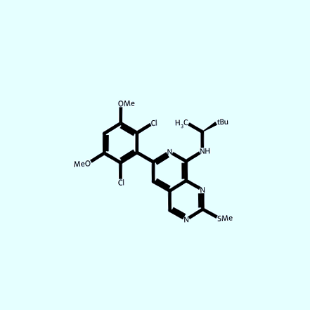 COc1cc(OC)c(Cl)c(-c2cc3cnc(SC)nc3c(N[C@@H](C)C(C)(C)C)n2)c1Cl